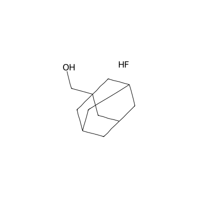 F.OCC12CC3CC(CC(C3)C1)C2